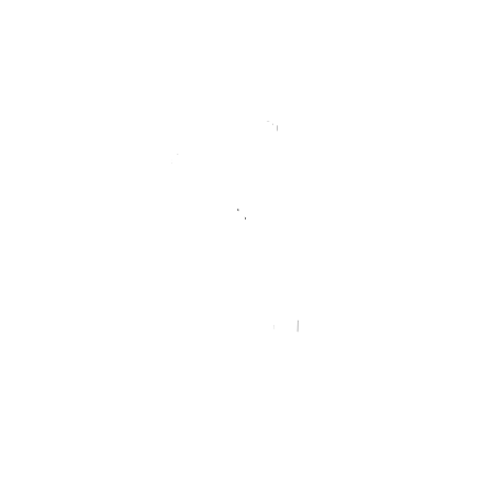 CC(C)(C)C(=O)N1CC(O)C1